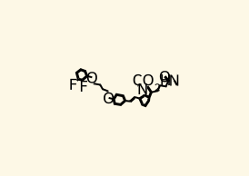 CN(C)C(=O)CCCc1cn(CC(=O)O)c2c(C=Cc3ccc(OCCCCOc4cccc(F)c4F)cc3)cccc12